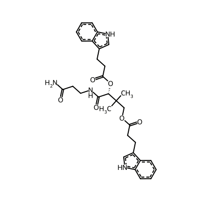 CC(C)(COC(=O)CCc1c[nH]c2ccccc12)[C@@H](OC(=O)CCc1c[nH]c2ccccc12)C(=O)NCCC(N)=O